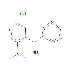 CN(C)c1ccccc1C(N)c1ccccc1.Cl